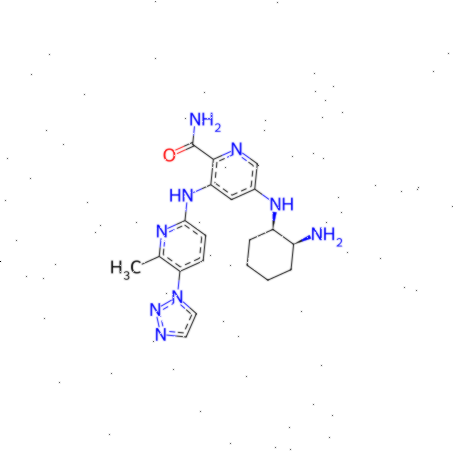 Cc1nc(Nc2cc(N[C@@H]3CCCC[C@@H]3N)cnc2C(N)=O)ccc1-n1ccnn1